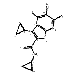 Cc1nc2sc(C(=O)NC3CC3)c(C3CC3)c2c(C)c1Cl